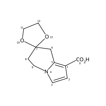 O=C(O)c1ccn2c1CC1(CC2)OCCO1